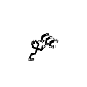 C=CC(=O)O.C=CC(=O)O.C=CC(=O)O.COCCC(CO)(CO)CO